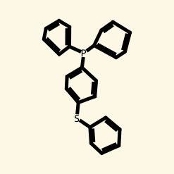 c1ccc(Sc2ccc(P(c3ccccc3)c3ccccc3)cc2)cc1